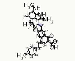 CNc1cc(F)c(F)c2c(/C(=C/c3cnc4c(c3)c(=O)c(C(=O)O)cn4CCN3CCN(C)CC3)N(C)C)c(N)[nH]c12